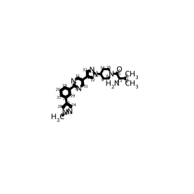 CC(C)[C@H](N)C(=O)N1CCC(n2cc(-c3cnc(-c4cccc(-c5cnn(C)c5)c4)nc3)cn2)CC1